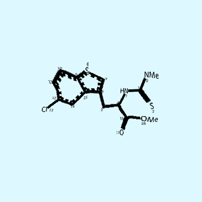 CNC(=S)NC(Cc1csc2ccc(Cl)cc12)C(=O)OC